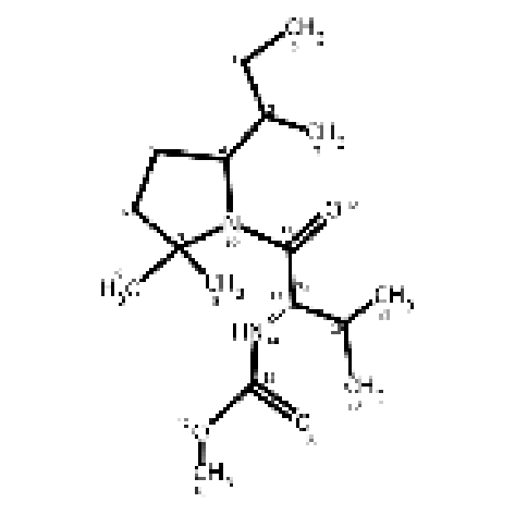 CCC(C)C1CCC(C)(C)N1C(=O)[C@@H](NC(=O)OC)C(C)C